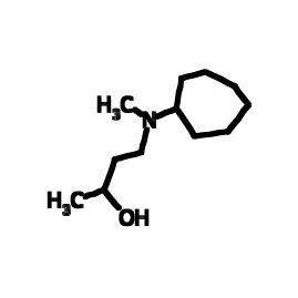 CC(O)CCN(C)C1CCCCCC1